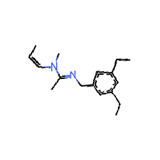 C/C=C\N(C)/C(C)=N/Cc1cc(CC)cc(CC)c1